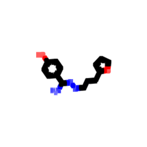 N\C(=N/N=C\C=C\c1ccco1)c1ccc(O)cc1